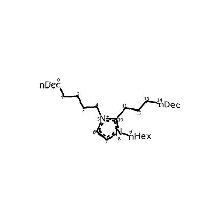 CCCCCCCCCCCCCC[n+]1ccn(CCCCCC)c1CCCCCCCCCCCCC